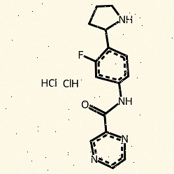 Cl.Cl.O=C(Nc1ccc(C2CCCN2)c(F)c1)c1cnccn1